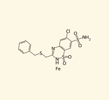 NS(=O)(=O)c1cc2c(cc1Cl)N=C(CSCc1ccccc1)NS2(=O)=O.[Fe]